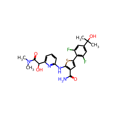 CN(C)C(=O)C(O)c1cccc(Nc2sc(-c3c(F)cc(C(C)(C)O)cc3F)cc2C(N)=O)n1